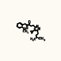 COc1ccccc1CNC(=O)CCc1nnc(CCC(C)C)n1C1CC1